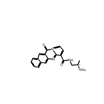 CN[C@H](C)CNC(=O)c1cccn2c(=O)c3cc4ccccc4cc3nc12